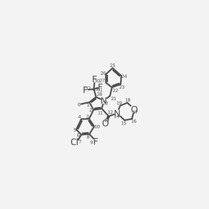 Cc1c(-c2ccc(Cl)c(F)c2)c(C(=O)N2CCOCC2)n(Cc2ccccc2)c1C(F)(F)F